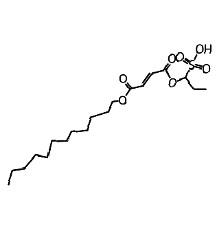 CCCCCCCCCCCCOC(=O)C=CC(=O)OC(CC)S(=O)(=O)O